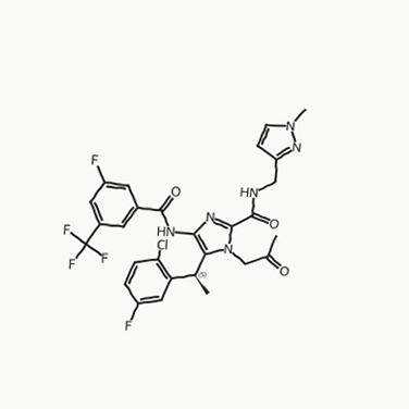 CC(=O)Cn1c(C(=O)NCc2ccn(C)n2)nc(NC(=O)c2cc(F)cc(C(F)(F)F)c2)c1[C@@H](C)c1cc(F)ccc1Cl